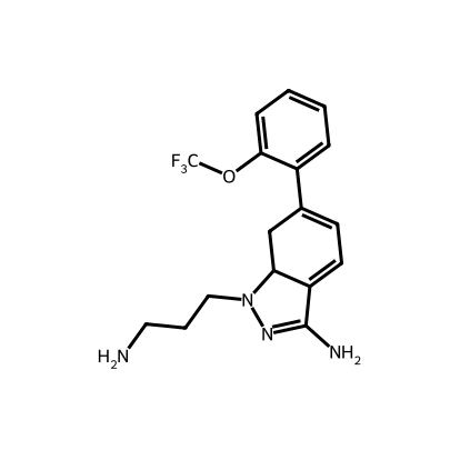 NCCCN1N=C(N)C2=CC=C(c3ccccc3OC(F)(F)F)CC21